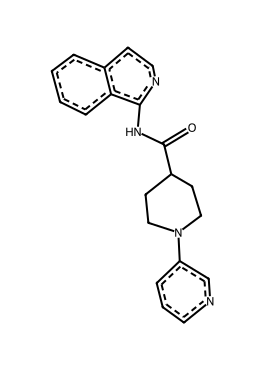 O=C(Nc1nccc2ccccc12)C1CCN(c2cccnc2)CC1